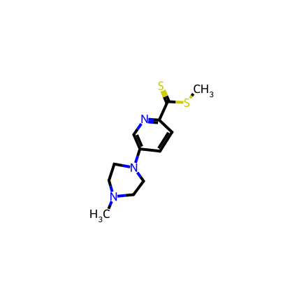 CSC(=S)c1ccc(N2CCN(C)CC2)cn1